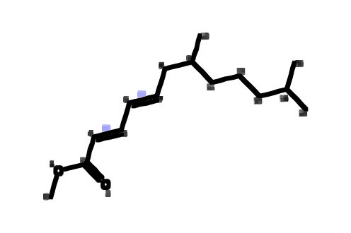 COC(=O)/C=C/C=C/CC(C)CCCC(C)C